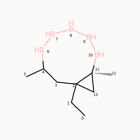 CCC12CC(C)BBBBB[C@@]1(C)C2